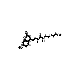 O=C(NCCOCCO)NCCC1CC(=O)Oc2cc(O)ccc21